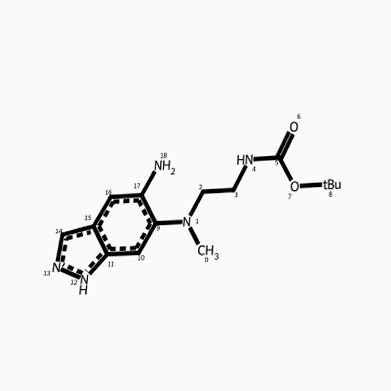 CN(CCNC(=O)OC(C)(C)C)c1cc2[nH]ncc2cc1N